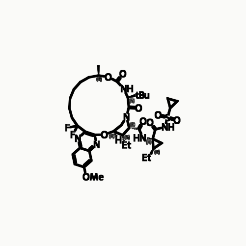 CC[C@@H]1[C@@H]2CN(C(=O)[C@H](C(C)(C)C)NC(=O)O[C@H](C)CCCCCCC(F)(F)c3nc4ccc(OC)cc4nc3O2)[C@@H]1C(=O)N[C@]1(C(=O)NS(=O)(=O)C2CC2)C[C@H]1CC